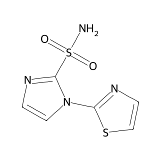 NS(=O)(=O)c1nccn1-c1nccs1